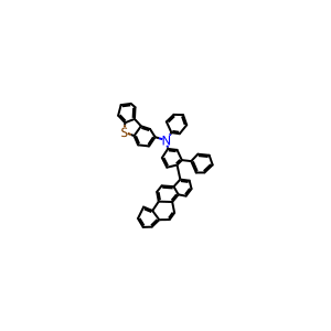 c1ccc(-c2cc(N(c3ccccc3)c3ccc4sc5ccccc5c4c3)ccc2-c2cccc3c2ccc2c4ccccc4ccc32)cc1